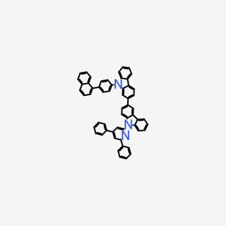 c1ccc(-c2cc(-c3ccccc3)nc(-n3c4ccccc4c4cc(-c5ccc6c7ccccc7n(-c7ccc(-c8cccc9ccccc89)cc7)c6c5)ccc43)c2)cc1